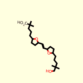 CC(C)(CO)CCCC1CCC(C=CC2CCC(CCCC(C)(C)C(=O)O)O2)O1